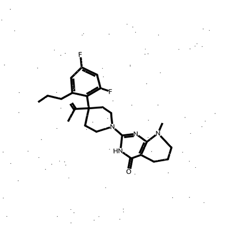 C=C(C)C1(c2c(F)cc(F)cc2CCC)CCN(c2nc3c(c(=O)[nH]2)CCCN3C)CC1